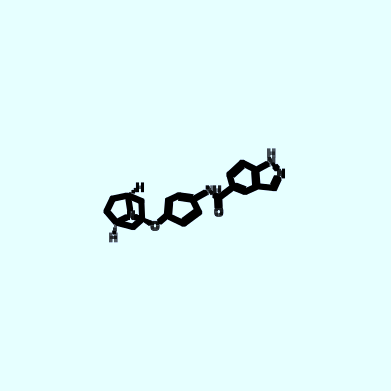 CN1[C@@H]2CC[C@H]1C[C@@H](Oc1ccc(NC(=O)c3ccc4[nH]ncc4c3)cc1)C2